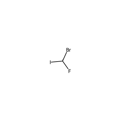 F[C](Br)I